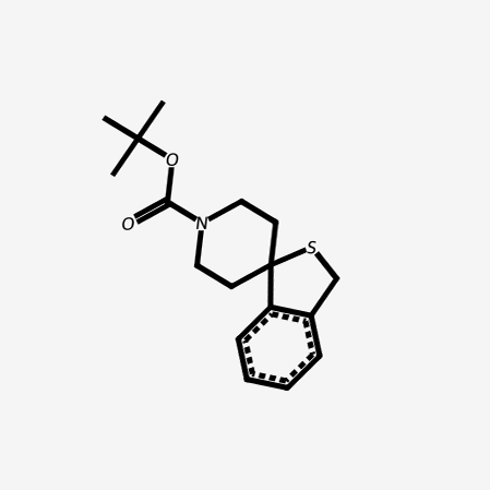 CC(C)(C)OC(=O)N1CCC2(CC1)SCc1ccccc12